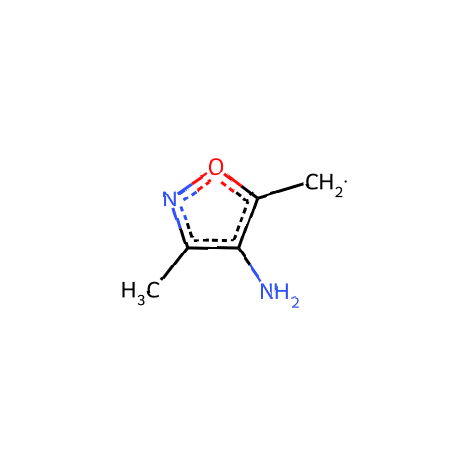 [CH2]c1onc(C)c1N